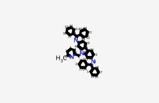 Cc1cccc(Cn2c3cc(N=C(c4ccccc4)c4ccccc4)ccc3c3ccc(N=C(c4ccccc4)c4ccccc4)cc32)n1